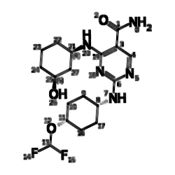 NC(=O)c1cnc(N[C@H]2CC[C@@H](OC(F)F)CC2)nc1N[C@@H]1CCC[C@H](O)C1